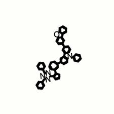 C1#CC(C2=C(c3nc(-c4ccccc4)nc(-c4ccccc4)n3)C=CC2)=CC(c2ccc3c(c2)c2cc(-c4ccc5oc6ccccc6c5c4)ccc2n3-c2ccccc2)=CC1